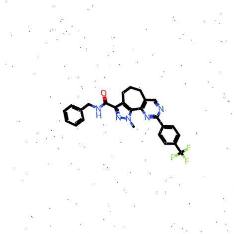 Cn1nc(C(=O)NCc2ccccc2)c2c1-c1nc(-c3ccc(C(F)(F)F)cc3)ncc1CCC2